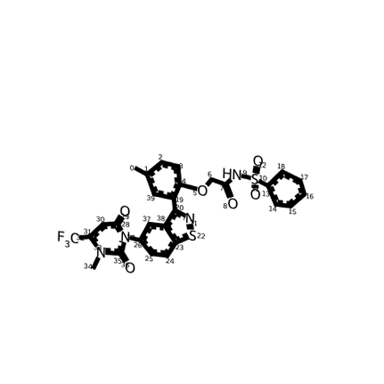 Cc1ccc(OCC(=O)NS(=O)(=O)c2ccccc2)c(-c2nsc3ccc(-n4c(=O)cc(C(F)(F)F)n(C)c4=O)cc23)c1